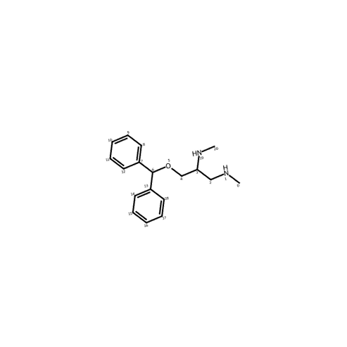 CNCC(COC(c1ccccc1)c1ccccc1)NC